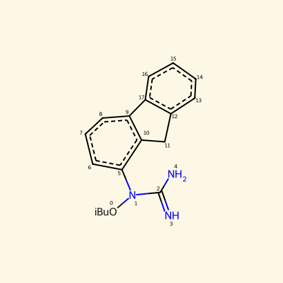 CC(C)CON(C(=N)N)c1cccc2c1Cc1ccccc1-2